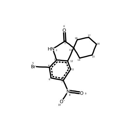 O=C1Nc2c(Br)cc([N+](=O)[O-])cc2C12CCCCC2